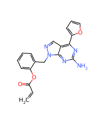 C=CC(=O)Oc1ccccc1Cn1ncc2c(-c3ccco3)nc(N)nc21